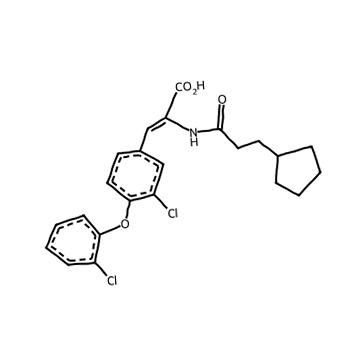 O=C(CCC1CCCC1)NC(=Cc1ccc(Oc2ccccc2Cl)c(Cl)c1)C(=O)O